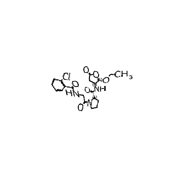 CCO[C@H]1OC(=O)C[C@@H]1NC(=O)[C@@H]1CCCN1C(=O)CNC(=O)C1=C(Cl)CCC=C1